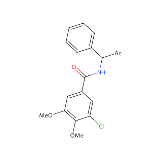 COc1cc(C(=O)NC(C(C)=O)c2ccccc2)cc(Cl)c1OC